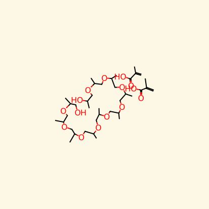 C=C(C)C(=O)O.C=C(C)C(=O)O.CC(O)COC(C)COC(C)COC(C)COC(C)COC(C)COC(C)COC(C)COC(C)COC(C)CO